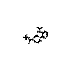 CC(C)Nc1cccnc1N1C=CCN(C(=O)OC(C)(C)C)C=C1